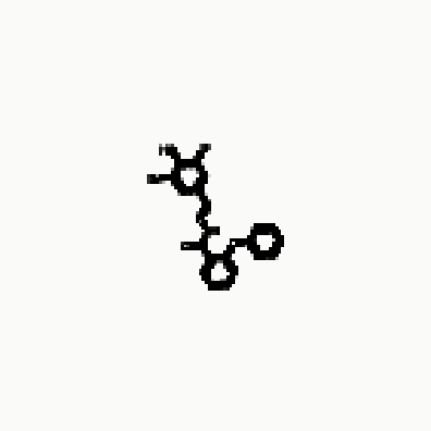 O=C(NN=Cc1cc(Br)c(O)c(Br)c1)c1ccccc1Oc1ccccc1